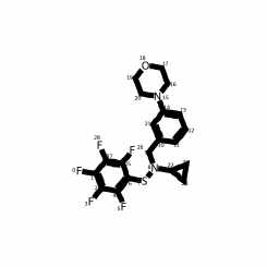 Fc1c(F)c(F)c(SN(Cc2cccc(N3CCOCC3)c2)C2CC2)c(F)c1F